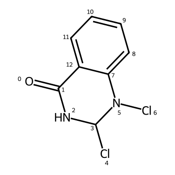 O=C1NC(Cl)N(Cl)c2ccccc21